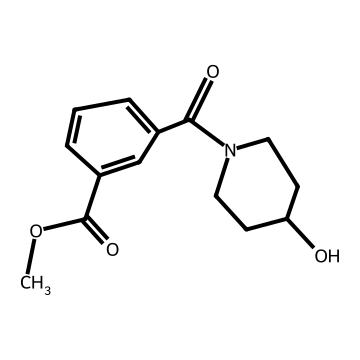 COC(=O)c1cccc(C(=O)N2CCC(O)CC2)c1